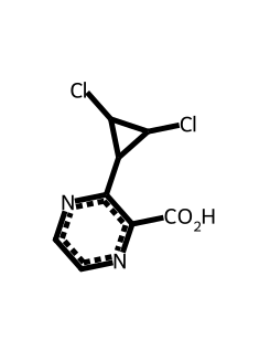 O=C(O)c1nccnc1C1C(Cl)C1Cl